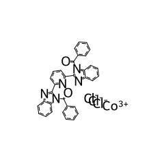 O=C(c1ccccc1)n1c(-c2cccc(-c3nc4ccccc4n3C(=O)c3ccccc3)n2)nc2ccccc21.[Cl-].[Cl-].[Cl-].[Co+3]